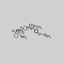 C=C(/N=C(\C=C/C)c1ccc(OCCOC)cc1)N1CCC(F)(C(=O)NC(C)(CCN)C2CCCCC2)CC1